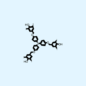 Oc1c(I)cc(COc2ccc([S+](c3ccc(OCc4cc(I)c(O)c(I)c4)cc3)c3ccc(OCc4cc(I)c(O)c(I)c4)cc3)cc2)cc1I